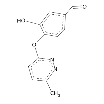 Cc1ccc(Oc2ccc(C=O)cc2O)nn1